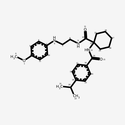 COc1ccc(NCCNC(=O)C2(NC(=O)c3ccc(C(C)C)cc3)CCCCC2)cc1